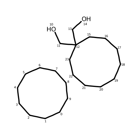 C1CCCCCCCCC1.OCC1(CO)CCCCCCCCC1